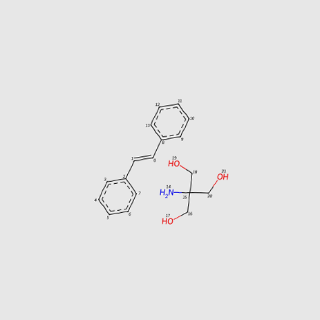 C(=C\c1ccccc1)/c1ccccc1.NC(CO)(CO)CO